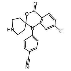 N#Cc1ccc(N2c3cc(Cl)ccc3C(=O)OC23CCNCC3)cc1